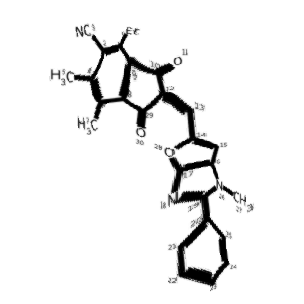 CCc1c(C#N)c(C)c(C)c2c1C(=O)/C(=C/c1cc3c(nc(-c4ccccc4)n3C)o1)C2=O